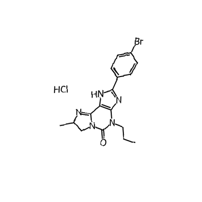 CCCN1C(=O)N2CC(C)N=C2c2[nH]c(-c3ccc(Br)cc3)nc21.Cl